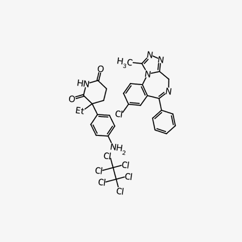 CCC1(c2ccc(N)cc2)CCC(=O)NC1=O.Cc1nnc2n1-c1ccc(Cl)cc1C(c1ccccc1)=NC2.ClC(Cl)(Cl)C(Cl)(Cl)Cl